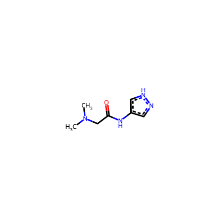 CN(C)CC(=O)Nc1cn[nH]c1